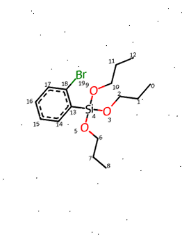 CCCO[Si](OCCC)(OCCC)c1ccccc1Br